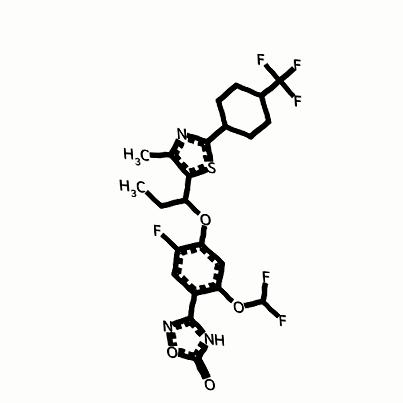 CCC(Oc1cc(OC(F)F)c(-c2noc(=O)[nH]2)cc1F)c1sc(C2CCC(C(F)(F)F)CC2)nc1C